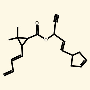 C#CC(C=CC1CC=CC1)OC(=O)C1C(C=CC=C)C1(C)C